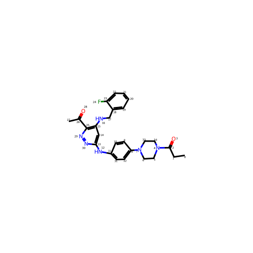 CCC(=O)N1CCN(c2ccc(Nc3cc(NCc4ccccc4F)c(C(C)=O)nn3)cc2)CC1